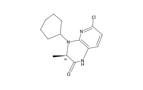 C[C@@H]1C(=O)Nc2ccc(Cl)nc2N1C1CCCCC1